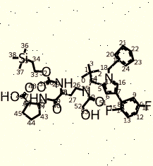 CC(C)(C)[C@H](c1cc(-c2cc(F)ccc2F)cn1Cc1ccccc1)N(CC[C@H](NC(=O)OCC[Si](C)(C)C)C(=O)N[C@H]1CCC[C@H]1C(=O)O)C(=O)CO